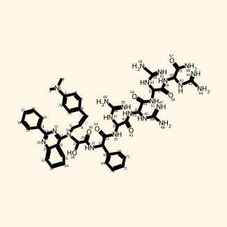 CN(C)c1ccc(/C=C\CN(c2nc(-c3ccccc3)nc3ccccc23)C(O)C(=O)NC(C(=O)NC(NC(=N)N)C(=O)NC(NC(=N)N)C(=O)NC(NC(=N)N)C(=O)NC(NC(=N)N)C(N)=O)c2ccccc2)cc1